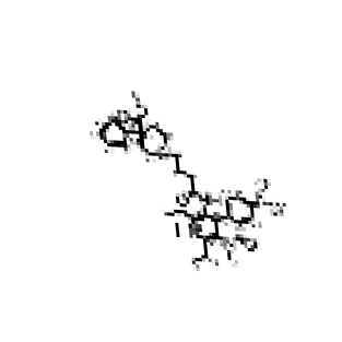 CCC1=C(NC(=O)CCCN2CCC(C(=O)OC)(c3ccccc3)CC2)C(c2ccc([N+](=O)[O-])cc2)C(N(C)C=O)=C(CC)N1